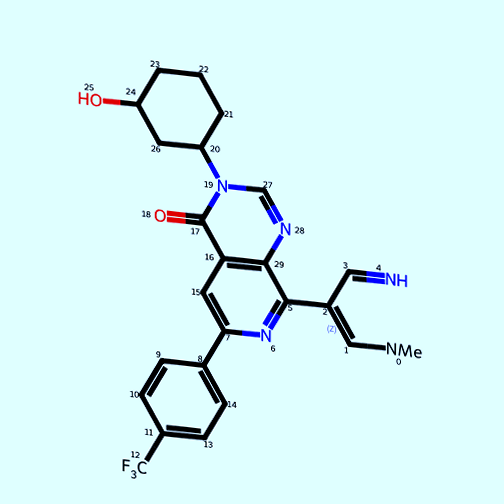 CN/C=C(\C=N)c1nc(-c2ccc(C(F)(F)F)cc2)cc2c(=O)n(C3CCCC(O)C3)cnc12